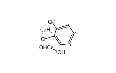 Clc1ccccc1Cl.O=CO.[CaH2]